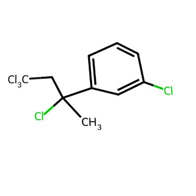 CC(Cl)(CC(Cl)(Cl)Cl)c1cccc(Cl)c1